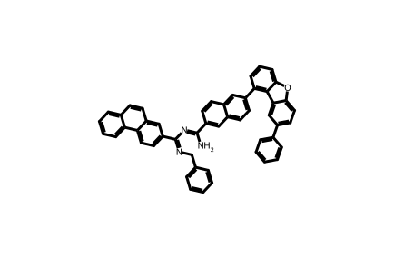 N/C(=N\C(=N/Cc1ccccc1)c1ccc2c(ccc3ccccc32)c1)c1ccc2cc(-c3cccc4oc5ccc(-c6ccccc6)cc5c34)ccc2c1